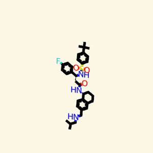 CC(C)CNCc1ccc2c(c1)CCC[C@H]2NC(=O)C[C@@H](NS(=O)(=O)c1ccc(C(C)(C)C)cc1)c1ccc(F)cc1